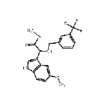 COC(=O)C(NCc1cccc(C(F)(F)F)c1)c1c[nH]c2ccc(OC)cc12